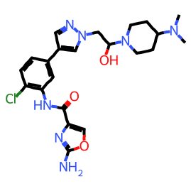 CN(C)C1CCN(C(O)Cn2cc(-c3ccc(Cl)c(NC(=O)c4coc(N)n4)c3)cn2)CC1